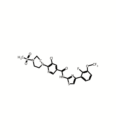 CS(=O)(=O)N1CCN(c2ncc(C(=O)Nc3nc(-c4cccc(OC(F)(F)F)c4F)cs3)cc2Cl)CC1